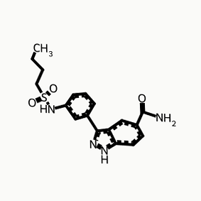 CCCCS(=O)(=O)Nc1cccc(-c2n[nH]c3ccc(C(N)=O)cc23)c1